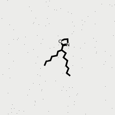 CCCCCCCC(CCCCCC)C1=NCCO1